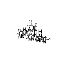 Cc1cc(NC(=O)Nc2cc(-c3c(-c4ccc(F)c(C)c4)nc4cccnn34)ccn2)[nH]n1